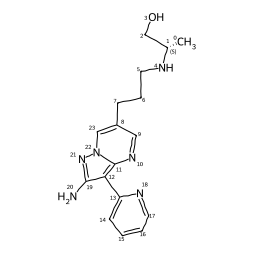 C[C@@H](CO)NCCCc1cnc2c(-c3ccccn3)c(N)nn2c1